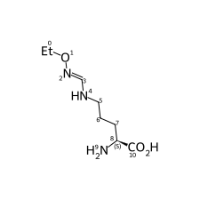 CCON=CNCCC[C@H](N)C(=O)O